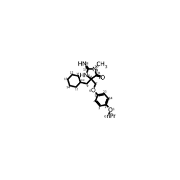 CCCOc1ccc(OCC2(CC3CCCCC3)NC(=N)N(C)C2=O)cc1